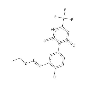 CCON=Cc1cc(-n2c(=O)cc(C(F)(F)F)[nH]c2=O)ccc1Cl